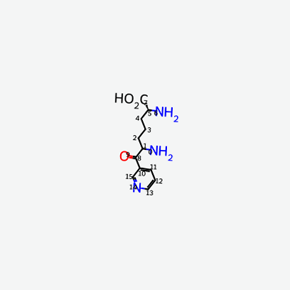 NC(CCC[C@H](N)C(=O)O)C(=O)c1cccnc1